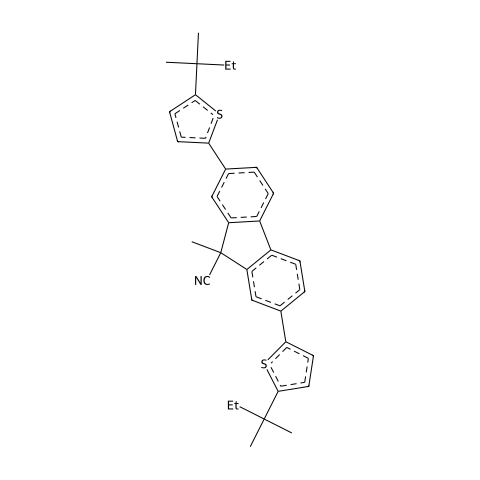 CCC(C)(C)c1ccc(-c2ccc3c(c2)C(C)(C#N)c2cc(-c4ccc(C(C)(C)CC)s4)ccc2-3)s1